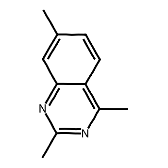 Cc1ccc2c(C)nc(C)nc2c1